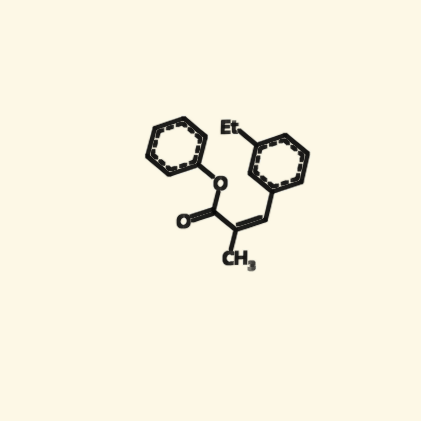 CCc1cccc(C=C(C)C(=O)Oc2ccccc2)c1